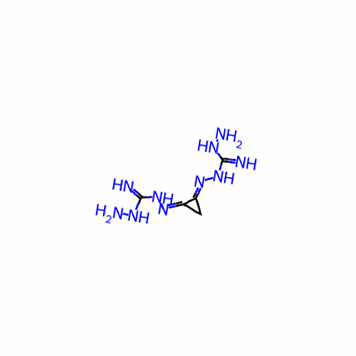 N=C(NN)NN=C1CC1=NNC(=N)NN